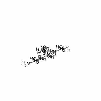 CC(=O)N(O)CCCCCNC(=O)CCC(=O)N(O)CCCCCNC(=O)CCC(=O)N(O)CCCCCN.CS(=O)(=O)O.CS(=O)(=O)O